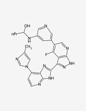 CCCC(O)Nc1cncc(-c2cnc3[nH]nc(-c4nc5c(-n6cnc(C)c6)ccnc5[nH]4)c3c2F)c1